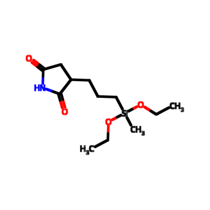 CCO[Si](C)(CCCC1CC(=O)NC1=O)OCC